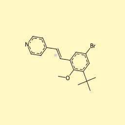 COc1c(/C=C/c2ccncc2)cc(Br)cc1C(C)(C)C